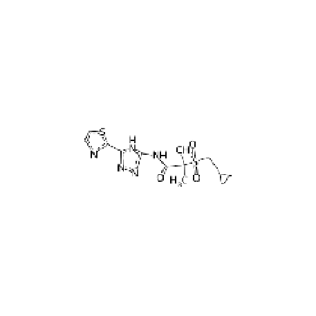 CC(C)(C(=O)Nc1nnc(-c2nccs2)[nH]1)S(=O)(=O)CC1CC1